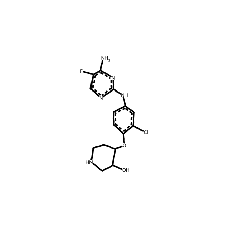 Nc1nc(Nc2ccc(OC3CCNCC3O)c(Cl)c2)ncc1F